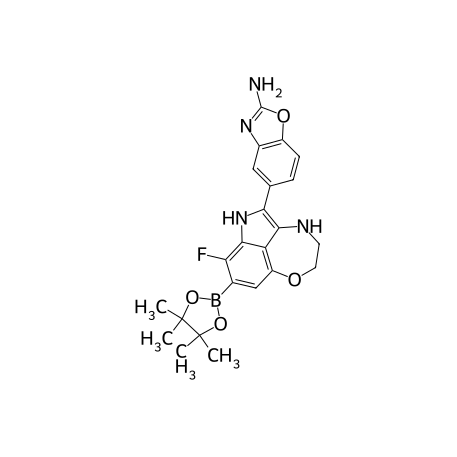 CC1(C)OB(c2cc3c4c(c(-c5ccc6oc(N)nc6c5)[nH]c4c2F)NCCO3)OC1(C)C